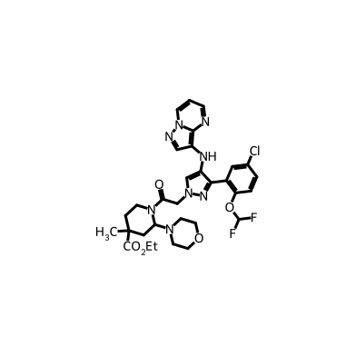 CCOC(=O)C1(C)CCN(C(=O)Cn2cc(Nc3cnn4cccnc34)c(-c3cc(Cl)ccc3OC(F)F)n2)C(N2CCOCC2)C1